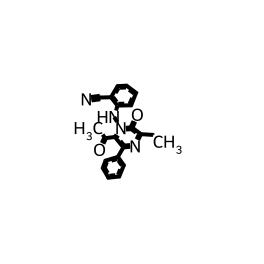 CCc1nc(-c2ccccc2)c(C(C)=O)n(Nc2ccccc2C#N)c1=O